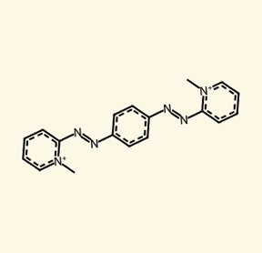 C[n+]1ccccc1N=Nc1ccc(N=Nc2cccc[n+]2C)cc1